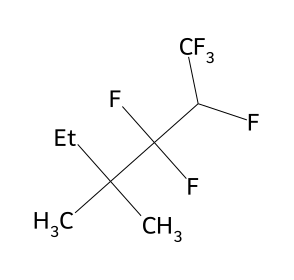 CCC(C)(C)C(F)(F)C(F)C(F)(F)F